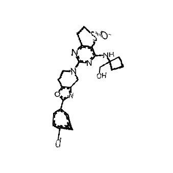 [O-][S@+]1CCc2nc(N3CCc4oc(-c5ccc(Cl)cc5)nc4C3)nc(NC3(CO)CCC3)c21